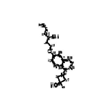 CC1(O)CN(c2ncnc3cc(OCC[SH](S)CSS)cnc23)C1